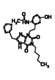 CCCCCn1c(=O)c2[nH]c(Cc3ccccc3)nc2n(CCc2cc(O)ccc2NC(C)=O)c1=O